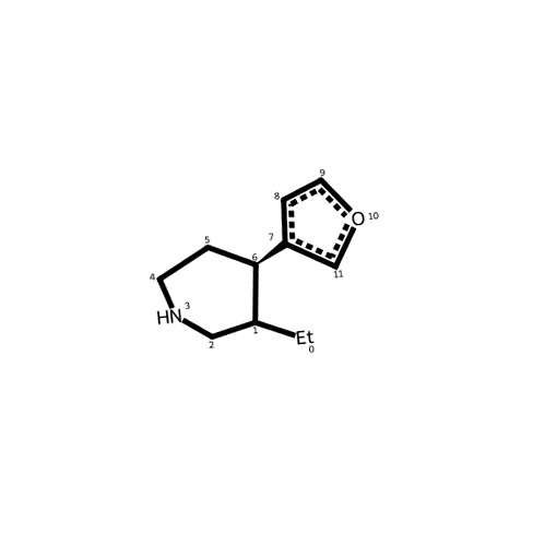 CCC1CNCC[C@H]1c1ccoc1